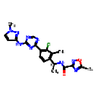 Cc1c([C@H](C)NC(=O)c2noc(C(C)(C)C)n2)ccc(-c2ncnc(Nc3ccn(C)n3)n2)c1Cl